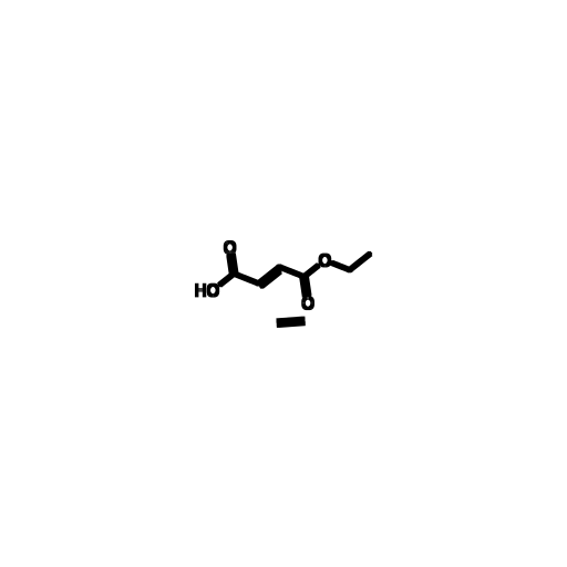 C=C.CCOC(=O)C=CC(=O)O